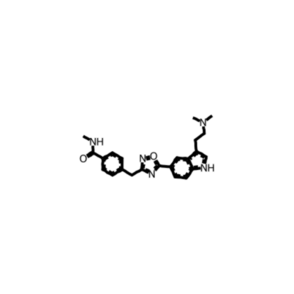 CNC(=O)c1ccc(Cc2noc(-c3ccc4[nH]cc(CCN(C)C)c4c3)n2)cc1